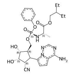 CCC(CC)COC(=O)[C@H](C)N[P@](=O)(OC[C@H]1C(c2ccc3c(N)ncnn23)[C@H](C#N)[C@H](O)[C@@H]1O)Oc1ccccc1